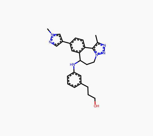 Cc1nnn2c1-c1ccc(-c3cnn(C)c3)cc1C(Nc1cccc(CCCO)c1)CC2